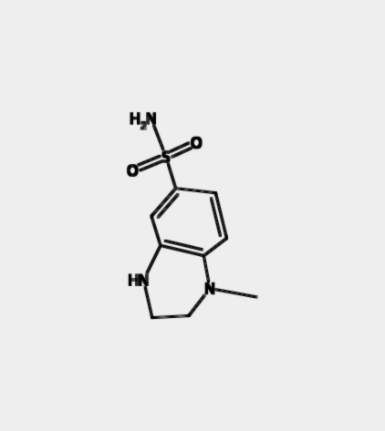 CN1CCNc2cc(S(N)(=O)=O)ccc21